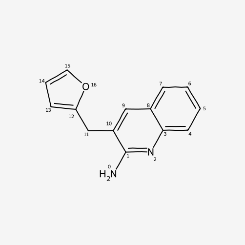 Nc1nc2ccccc2cc1Cc1ccco1